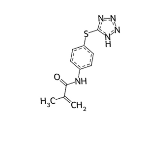 C=C(C)C(=O)Nc1ccc(Sc2nnn[nH]2)cc1